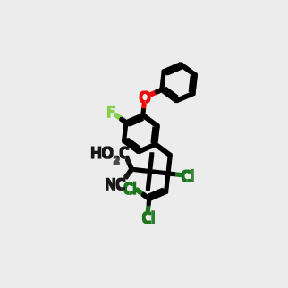 CC(C)(C(C#N)C(=O)O)C(Cl)(C=C(Cl)Cl)Cc1ccc(F)c(Oc2ccccc2)c1